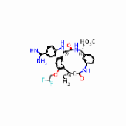 C[C@@H]1CC(=O)Nc2cccc(c2)[C@@H](CC(=O)O)NC(=O)[C@H](Nc2ccc(C(=N)N)cc2)c2ccc(OCC(F)F)c1c2